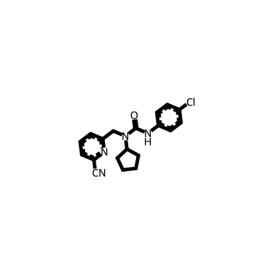 N#Cc1cccc(CN(C(=O)Nc2ccc(Cl)cc2)C2CCCC2)n1